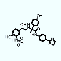 COc1ccc(C(C)(NC[C@@H](O)c2ccc(O)c(NS(C)(=O)=O)c2)C(=O)Nc2ccc(-c3ncco3)cc2)cc1